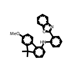 COc1ccc2c(c1)C(C)(C)c1cccc(Nc3ccccc3-c3nc4ccccc4o3)c1-2